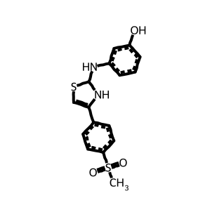 CS(=O)(=O)c1ccc(C2=CSC(Nc3cccc(O)c3)N2)cc1